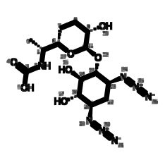 C[C@@H](NC(=O)O)[C@@H]1CC[C@H](O)[C@@H](O[C@H]2[C@H](O)[C@@H](O)[C@H](N=[N+]=[N-])C[C@@H]2N=[N+]=[N-])O1